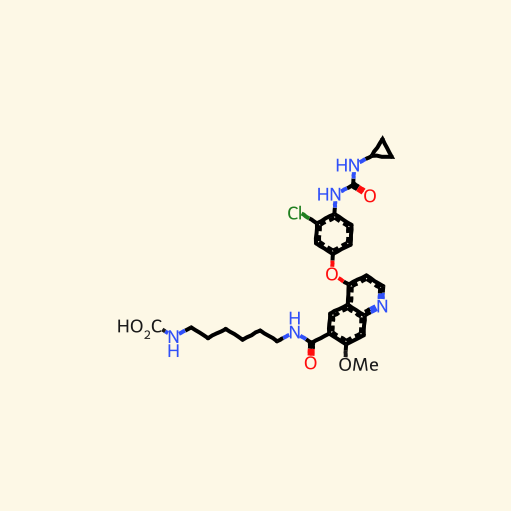 COc1cc2nccc(Oc3ccc(NC(=O)NC4CC4)c(Cl)c3)c2cc1C(=O)NCCCCCCNC(=O)O